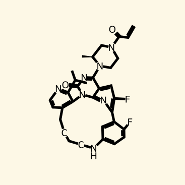 C=CC(=O)N1CCN(c2nc(=O)n3c4nc(c(F)cc24)-c2cc(ccc2F)NCCCCc2ccnc(C(C)C)c2-3)[C@@H](C)C1